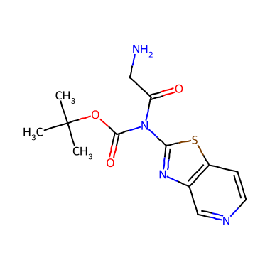 CC(C)(C)OC(=O)N(C(=O)CN)c1nc2cnccc2s1